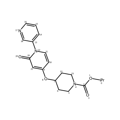 CC(C)OC(=O)N1CCC(Oc2ccn(-c3cccnc3)c(=O)c2)CC1